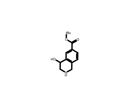 CC(C)(C)OC(=O)c1ccc2c(c1)C(O)CNC2